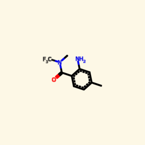 Cc1ccc(C(=O)N(C)C(F)(F)F)c(N)c1